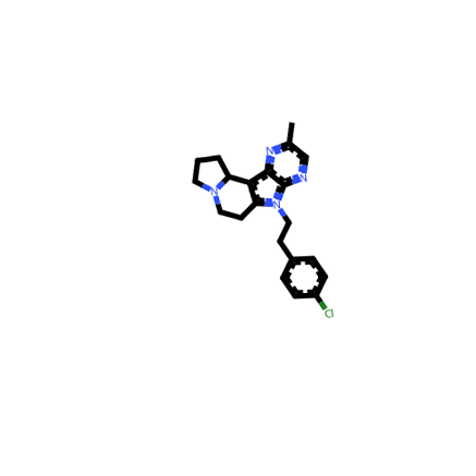 Cc1cnc2c(n1)c1c(n2CCc2ccc(Cl)cc2)CCN2CCCC12